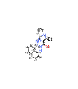 CCc1nc(CC(C)C)n2nc(-c3cccc4ccccc34)[nH]c(=O)c12